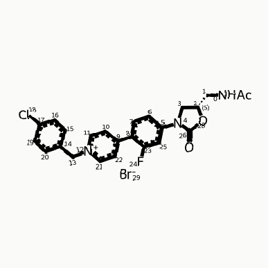 CC(=O)NC[C@H]1CN(c2ccc(-c3cc[n+](Cc4ccc(Cl)cc4)cc3)c(F)c2)C(=O)O1.[Br-]